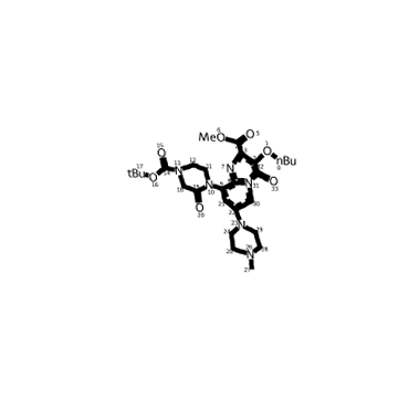 CCCCOc1c(C(=O)OC)nc2c(N3CCN(C(=O)OC(C)(C)C)CC3=O)cc(N3CCN(C)CC3)cn2c1=O